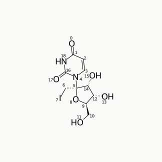 O=c1ccn([C@]2(CI)O[C@H](CO)[C@@H](O)[C@H]2O)c(=O)[nH]1